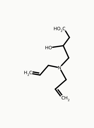 C=CCN(CC=C)CC(O)CC(=O)O